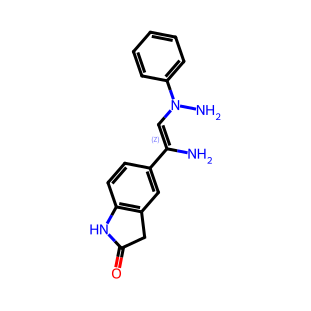 N/C(=C\N(N)c1ccccc1)c1ccc2c(c1)CC(=O)N2